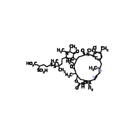 C/C1=C\C=C\C(C)C2(O)CC(OC(=O)N2)C(C)C2OC2(C)C(OC(=O)C(C)N(C)C(=O)CCC(C)(C)SSCCC(C(=O)O)S(=O)(=O)O)CC(=O)N(C)c2cc(cc(C)c2Cl)C1